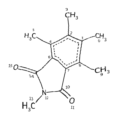 Cc1c(C)c(C)c2c(c1C)C(=O)N(C)C2=O